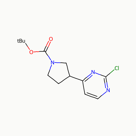 CC(C)(C)OC(=O)N1CCC(c2ccnc(Cl)n2)C1